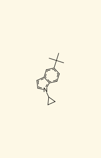 CC(C)(C)c1ccc2c(ccn2C2CC2)c1